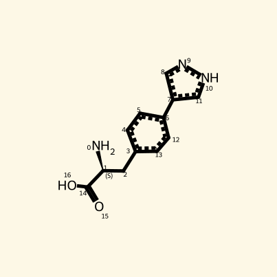 N[C@@H](Cc1ccc(-c2cn[nH]c2)cc1)C(=O)O